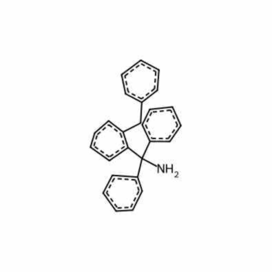 NC(c1ccccc1)(c1ccccc1)c1ccccc1Cc1ccccc1